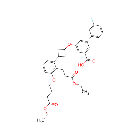 CCOC(=O)CCCOc1cccc(C2CC(Oc3cc(C(=O)O)cc(-c4cccc(F)c4)c3)C2)c1CCC(=O)OCC